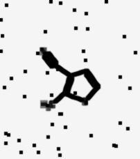 Cc1sccc1C#N